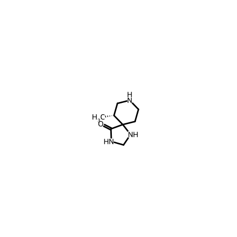 C[C@@H]1CNCCC12NCNC2=O